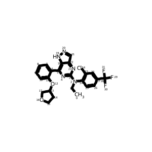 CCN(c1nc(-c2ccccc2OC2CCOC2)c2[nH]ncc2n1)c1ccc(C(F)(F)F)cc1Cl